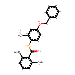 COc1cccc(OC)c1C(=O)Pc1ccc(OCc2ccccc2)cc1C.[LiH]